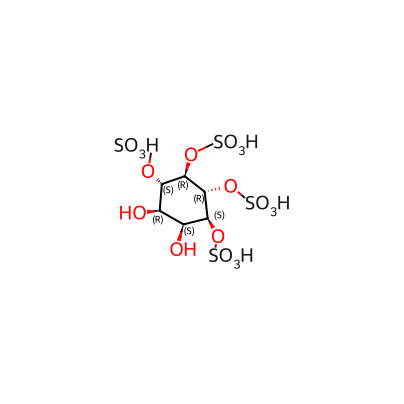 O=S(=O)(O)O[C@H]1[C@H](OS(=O)(=O)O)[C@@H](OS(=O)(=O)O)[C@@H](O)[C@@H](O)[C@@H]1OS(=O)(=O)O